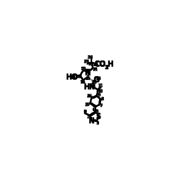 Cc1ncsc1-c1ccc([C@H](C)NC(=O)[C@@H]2C[C@@H](O)CN2CC(C)(C)C(=O)O)cc1